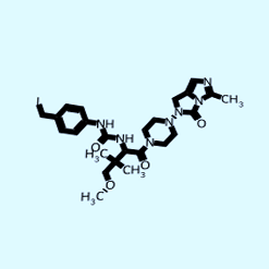 COCC(C)(C)C(NC(=O)Nc1ccc(CI)cc1)C(=O)N1CCN(N2Cc3cnc(C)n3C2=O)CC1